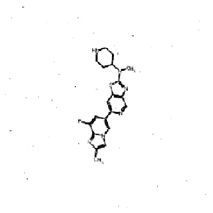 Cc1cn2cc(-c3cc4sc(N(C)C5CCNCC5)nc4cn3)cc(F)c2n1